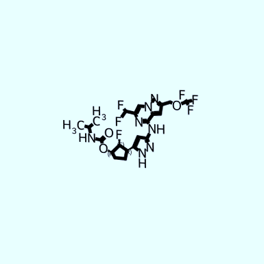 CC(C)NC(=O)O[C@@H]1CC[C@H](c2cc(Nc3nc(C(F)F)cn4nc(COC(F)(F)F)cc34)n[nH]2)[C@@H]1F